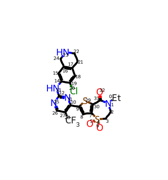 CCN1CCS(=O)(=O)c2cc(-c3nc(Nc4cc5c(cc4Cl)CCNC5)ncc3C(F)(F)F)sc2C1=O